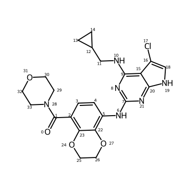 O=C(c1ccc(Nc2nc(NCC3CC3)c3c(Cl)c[nH]c3n2)c2c1OCCO2)N1CCOCC1